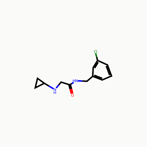 O=C(CNC1CC1)NCc1cccc(Cl)c1